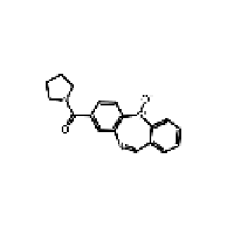 O=C(c1ccc2c(c1)N=Cc1ccccc1[S+]2[O-])N1CCCC1